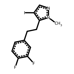 Cn1ncc(I)c1CCc1ccc(F)c(F)c1